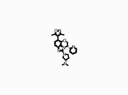 Cc1noc(C)c1-c1ccc2nc(N3CC[C@H](N(C)C)C3)n3c2c1OC[C@@H]3c1ccccn1